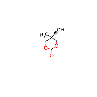 C#CC1(C)COC(=O)OC1